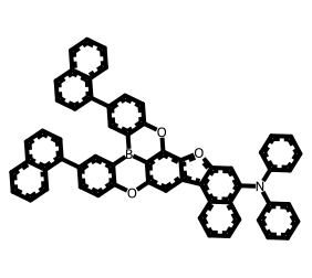 c1ccc(N(c2ccccc2)c2cc3oc4c5c6c(cc4c3c3ccccc23)Oc2ccc(-c3cccc4ccccc34)cc2B6c2cc(-c3cccc4ccccc34)ccc2O5)cc1